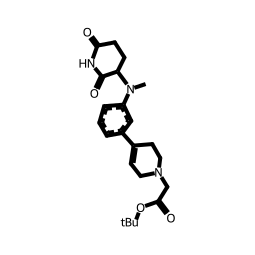 CN(c1cccc(C2=CCN(CC(=O)OC(C)(C)C)CC2)c1)C1CCC(=O)NC1=O